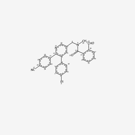 CCc1ccc(-c2cc(CN(C)C(=O)c3ccccc3C=O)cnc2-c2ccc(C#N)cc2)cc1